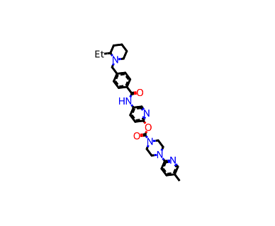 CCC1CCCCN1Cc1ccc(C(=O)Nc2ccc(OC(=O)N3CCN(c4ccc(C)cn4)CC3)nc2)cc1